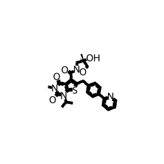 CC(C)n1c(=O)n(C)c(=O)c2c(C(=O)N3C[C@](C)(O)CO3)c(Cc3ccc(-c4ccccn4)cc3)sc21